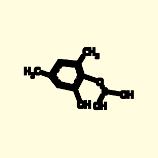 Cc1cc(C)c(OB(O)O)c(O)c1